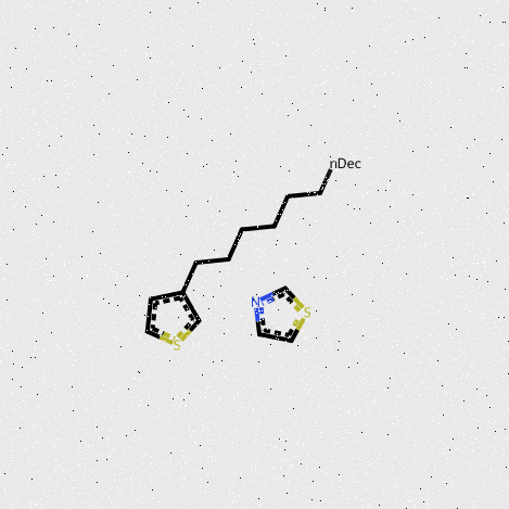 CCCCCCCCCCCCCCCCc1ccsc1.c1cscn1